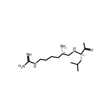 CC(=O)[C@H](CC(C)C)NC[C@@H](N)CCCCNC(=N)N